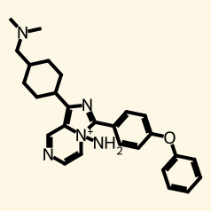 CN(C)CC1CCC(C2=C3C=NC=C[N+]3(N)C(c3ccc(Oc4ccccc4)cc3)=N2)CC1